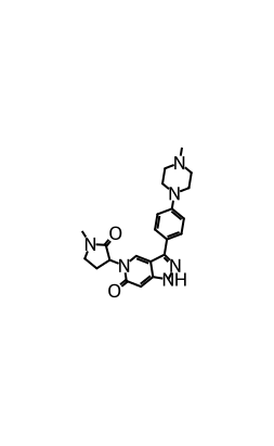 CN1CCN(c2ccc(-c3n[nH]c4cc(=O)n(C5CCN(C)C5=O)cc34)cc2)CC1